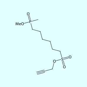 C#CCOS(=O)(=O)CCCCCCP(C)(=O)OC